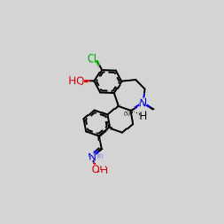 CN1CCc2cc(Cl)c(O)cc2C2c3cccc(/C=N/O)c3CC[C@@H]21